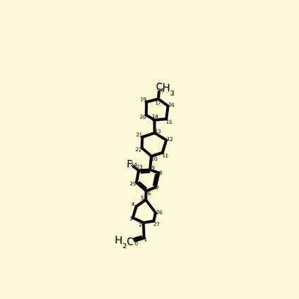 C=CC1CCC(c2ccc(C3CCC(C4CCC(C)CC4)CC3)c(F)c2)CC1